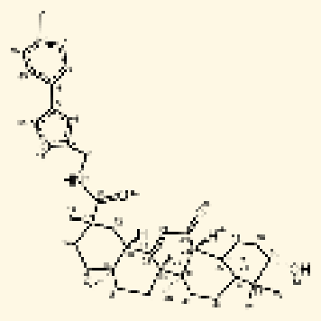 Cc1ccc(-c2cc(CNC(=O)[C@@]3(C)CC[C@]4(C)CC[C@]5(C)C(=CC(=O)[C@@H]6[C@@]7(C)CC[C@H](O)C(C)(C)C7CC[C@]65C)[C@H]4C3)on2)cc1